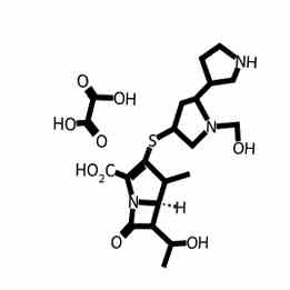 CC(O)C1C(=O)N2C(C(=O)O)=C(SC3CC(C4CCNC4)N(CO)C3)C(C)[C@@H]12.O=C(O)C(=O)O